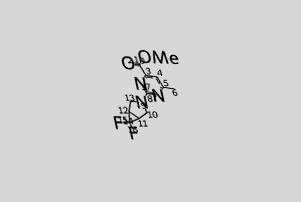 COC(=O)c1cc(C)nc(N2CC3C(C2)C3(F)F)n1